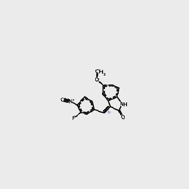 [C-]#[N+]c1ccc(/C=C2/C(=O)Nc3ccc(OC)cc32)cc1F